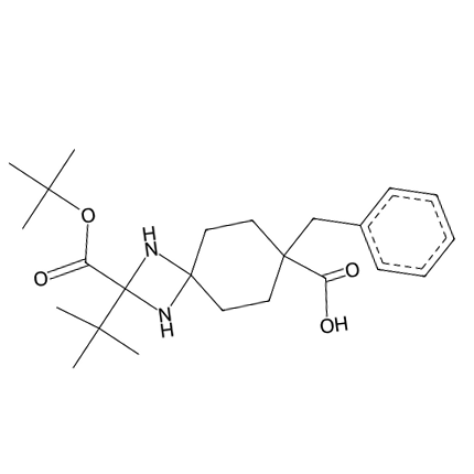 CC(C)(C)OC(=O)C1(C(C)(C)C)NC2(CCC(Cc3ccccc3)(C(=O)O)CC2)N1